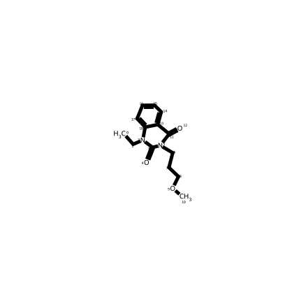 CCn1c(=O)n(CCCOC)c(=O)c2ccccc21